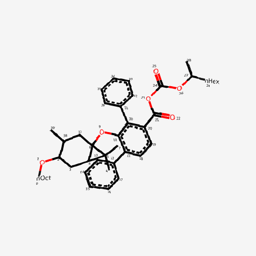 CCCCCCCCOC1CC2C(C)(C)C2(Oc2c(-c3ccccc3)ccc(C(=O)OC(=O)OC(C)CCCCCC)c2-c2ccccc2)CC1C